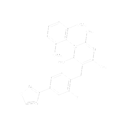 CCCCC1=NC(O)=C(Cc2ccc(-c3ncon3)cc2F)C(O)N1c1c(OC)cccc1OC